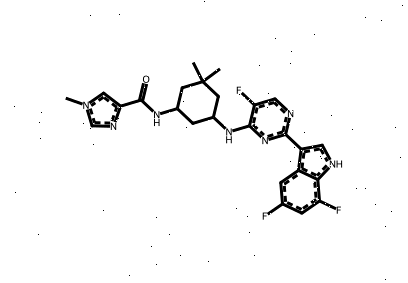 Cn1cnc(C(=O)NC2CC(Nc3nc(-c4c[nH]c5c(F)cc(F)cc45)ncc3F)CC(C)(C)C2)c1